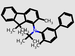 Cc1ccc(-c2ccccc2)cc1N(c1c(C)ccc2c1C(C)(C)c1ccccc1-2)C(C)(C)C